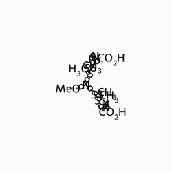 COc1ccc(N(c2ccc(-c3cc4c(s3)-c3sc(-c5ccc(C(=O)O)c6nsnc56)cc3S4(C)C)cc2)c2ccc(-c3cc4c(s3)-c3sc(-c5ccc(C(=O)O)c6nsnc56)cc3S4(C)C)cc2)cc1